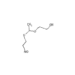 CC(OCCO)OCCN=O